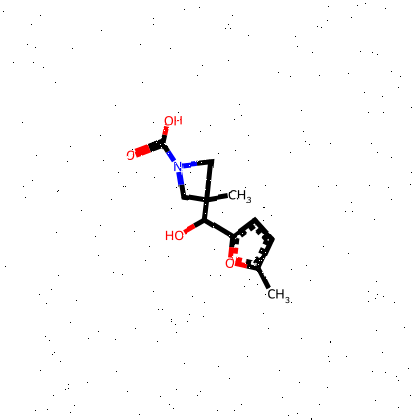 Cc1ccc(C(O)C2(C)CN(C(=O)O)C2)o1